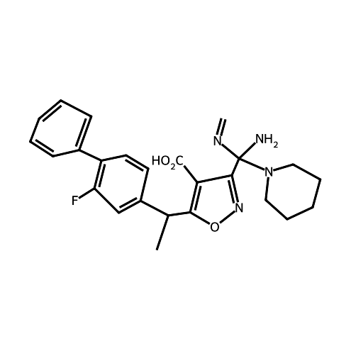 C=NC(N)(c1noc(C(C)c2ccc(-c3ccccc3)c(F)c2)c1C(=O)O)N1CCCCC1